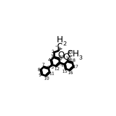 [CH2]C1Cc2cc(-c3ccccc3)cc(-c3ccccc3OC)c2O1